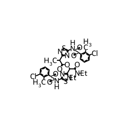 CCN(CC)C(=O)C(OC(=O)C(C)c1nsc(NS(=O)(=O)c2cccc(Cl)c2C)n1)c1nsc(NS(=O)(=O)c2cccc(Cl)c2C)n1